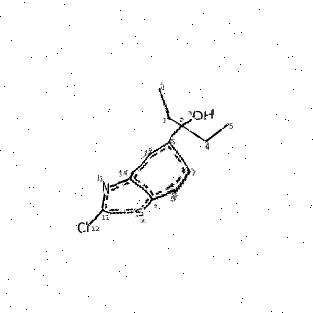 CCC(O)(CC)c1ccc2sc(Cl)nc2c1